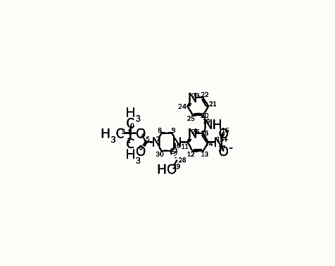 CC(C)(C)OC(=O)N1CCN(c2ccc([N+](=O)[O-])c(Nc3ccncc3)n2)[C@H](CO)C1